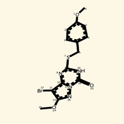 COc1ccc(CSc2nc3c(Br)c(OC)nn3c(=O)[nH]2)cc1